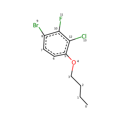 CCCCOc1ccc(Br)c(F)c1Cl